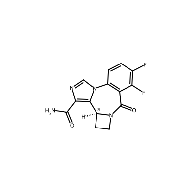 NC(=O)c1ncn2c1[C@@H]1CCN1C(=O)c1c-2ccc(F)c1F